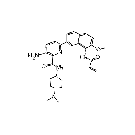 C=CC(=O)Nc1c(OC)ccc2ccc(-c3ccc(N)c(C(=O)NC4CCC(N(C)C)CC4)n3)cc12